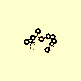 CC1(C)c2ccccc2-c2ccc(N(c3ccccc3)c3cccc(-c4ccc5ccc6ccc7nn(-c8ccccc8)nc7c6c5c4)c3)cc21